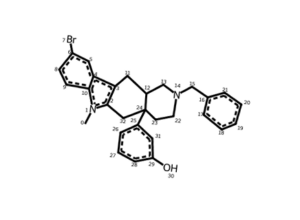 Cn1c2c(c3cc(Br)ccc31)CC1CN(Cc3ccccc3)CCC1(c1cccc(O)c1)C2